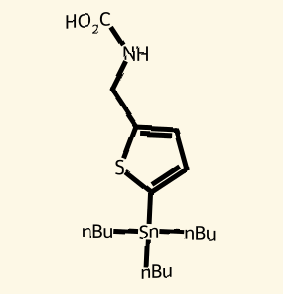 CCC[CH2][Sn]([CH2]CCC)([CH2]CCC)[c]1ccc(CNC(=O)O)s1